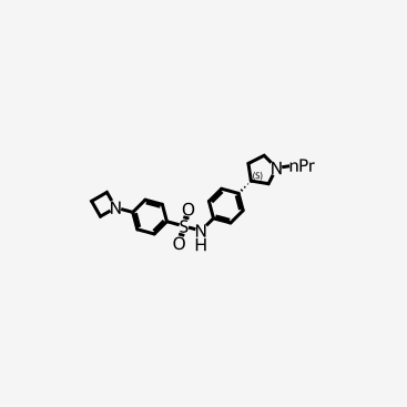 CCCN1CC[C@@H](c2ccc(NS(=O)(=O)c3ccc(N4CCC4)cc3)cc2)C1